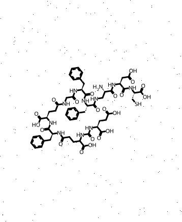 N[C@@H](CNC(=O)[C@H](Cc1ccccc1)NC(=O)[C@H](Cc1ccccc1)NC(=O)CNC(=O)CC[C@@H](NC(=O)[C@H](Cc1ccccc1)NC(=O)CCC(NC(=O)N[C@@H](CCC(=O)O)C(=O)O)C(=O)O)C(=O)O)C(=O)N[C@@H](CC(=O)O)C(=O)N[C@@H](CS)C(=O)O